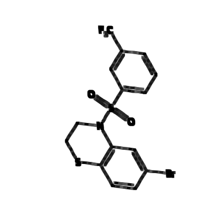 O=S(=O)(c1cccc(C(F)(F)F)c1)N1CCSc2ccc(Br)cc21